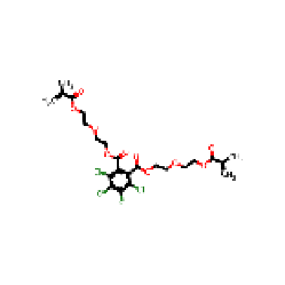 C=C(C)C(=O)OCCOCCOC(=O)c1c(Cl)c(Cl)c(Cl)c(Cl)c1C(=O)OCCOCCOC(=O)C(=C)C